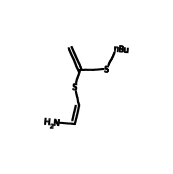 C=C(S/C=C\N)SCCCC